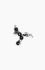 COC(=O)CCn1c2c(c3cc(OCc4ccccn4)ccc31)CC(NS(=O)(=O)c1ccc(F)cc1)CC2